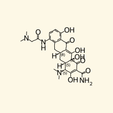 CN(C)CC(=O)Nc1ccc(O)c2c1C[C@H]1C[C@H]3[C@H](N(C)C)C(O)=C(C(N)=O)C(=O)[C@@]3(O)C(O)=C1C2=O